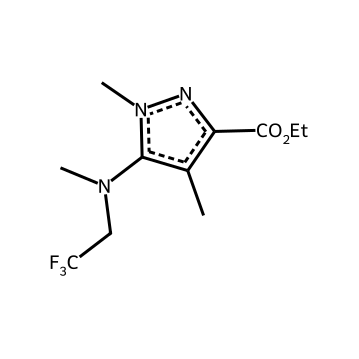 CCOC(=O)c1nn(C)c(N(C)CC(F)(F)F)c1C